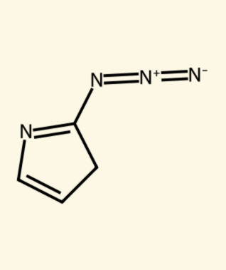 [N-]=[N+]=NC1=NC=CC1